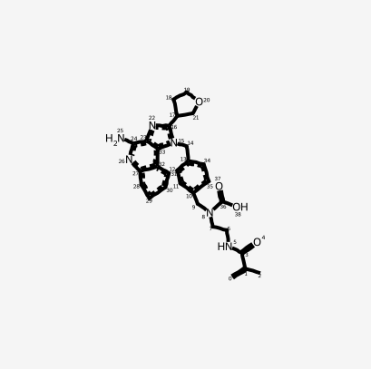 C=C(C)C(=O)NCCN(Cc1ccc(Cn2c(C3CCOC3)nc3c(N)nc4ccccc4c32)cc1)C(=O)O